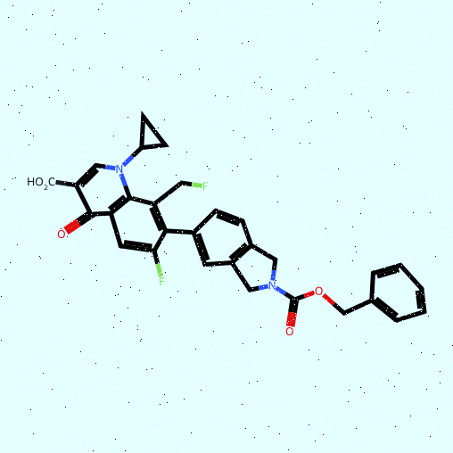 O=C(O)c1cn(C2CC2)c2c(CF)c(-c3ccc4c(c3)CN(C(=O)OCc3ccccc3)C4)c(F)cc2c1=O